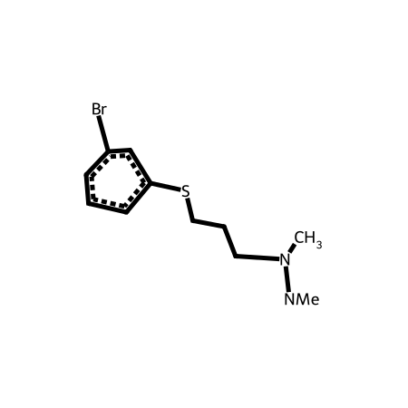 CNN(C)CCCSc1cccc(Br)c1